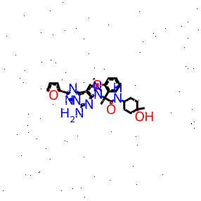 COc1ccccc1C(C)(C(=O)NC1CCC(C)(O)CC1)n1ncc2c1nc(N)n1nc(-c3ccco3)nc21